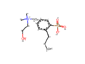 CCCCCCCCCCCCc1ccccc1S(=O)(=O)[O-].CCCCCCCC[N+](C)(C)CCO